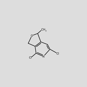 CC1OCc2c1cc(Cl)nc2Cl